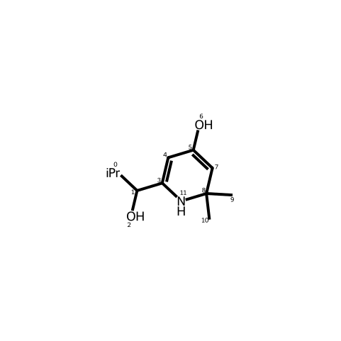 CC(C)C(O)C1=CC(O)=CC(C)(C)N1